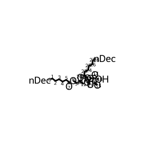 CCCCCCCCCCCCCCCC(=O)OC[C@H](COOC(=O)P(=O)(O)O)OC(=O)CCCCCCCCCCCCCCC